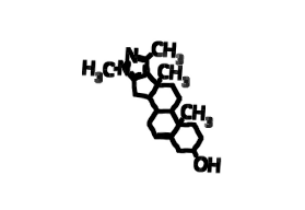 Cc1nn(C)c2c1C1(C)CCC3C(CC=C4CC(O)CCC43C)C1C2